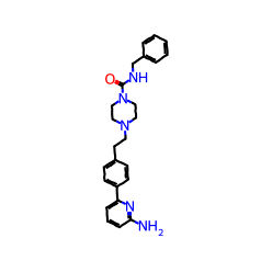 Nc1cccc(-c2ccc(CCN3CCN(C(=O)NCc4ccccc4)CC3)cc2)n1